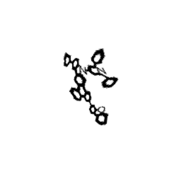 c1ccc(-c2ccc3c(c2)c2cc4c5ccccc5c5cc(-c6ccc7c(c6)oc6ccccc67)ccc5c4cc2n3-c2cc(-c3ccccc3)nc(-c3ccccc3)c2)cc1